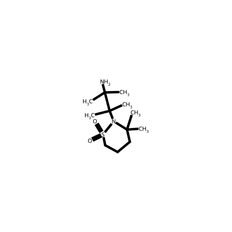 CC1(C)CCCS(=O)(=O)N1C(C)(C)C(C)(C)N